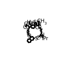 COC(=O)c1c2c3ccc(Cl)c(c3n1C)-c1c(nn(C)c1C)CSCc1cc(n(C(C)C)n1)CSc1cc(c3ccccc3c1)OCCC2